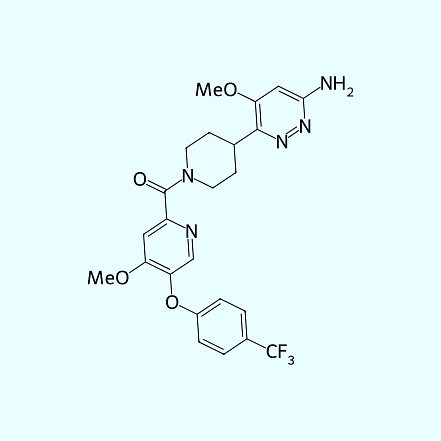 COc1cc(C(=O)N2CCC(c3nnc(N)cc3OC)CC2)ncc1Oc1ccc(C(F)(F)F)cc1